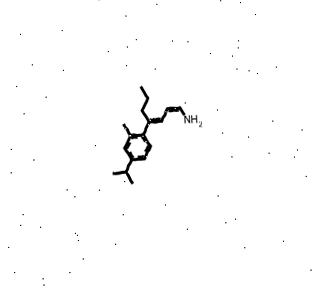 CCC/C(=C\C=C/N)c1ccc(C(C)C)cc1C